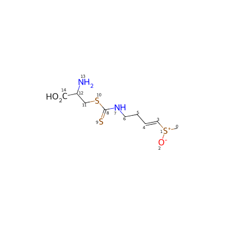 C[S+]([O-])C=CCCNC(=S)SCC(N)C(=O)O